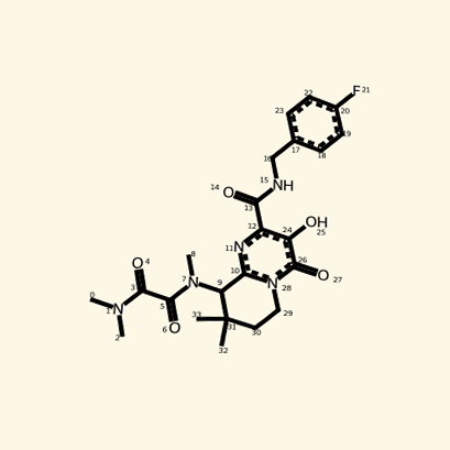 CN(C)C(=O)C(=O)N(C)C1c2nc(C(=O)NCc3ccc(F)cc3)c(O)c(=O)n2CCC1(C)C